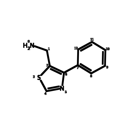 NCc1scnc1-c1ccccc1